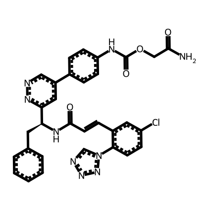 NC(=O)COC(=O)Nc1ccc(-c2cnnc([C@H](Cc3ccccc3)NC(=O)C=Cc3cc(Cl)ccc3-n3cnnn3)c2)cc1